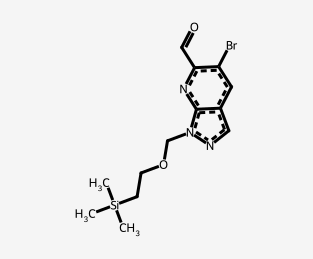 C[Si](C)(C)CCOCn1ncc2cc(Br)c(C=O)nc21